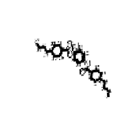 CCCCC1CCC(C(=O)OC2=CC(F)C(F)(OC(=O)C3CCC(CCCC)CC3)C=C2)CC1